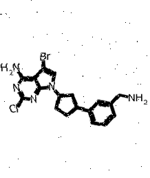 NCc1cccc(C2CCC(n3cc(Br)c4c(N)nc(Cl)nc43)C2)c1